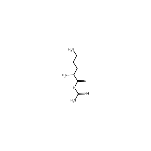 N=C(N)[N]C(=O)C(N)CCCN